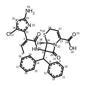 C/C=C(\C(=O)NC1(C(c2ccccc2)c2ccccc2)C(=O)N2C(C(=O)O)=CCS[C@H]21)c1nc(N)sc1Cl